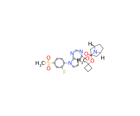 CC1(OC(=O)N2[C@H]3CC[C@H]2CC(Oc2ncnc4c2ccn4-c2ccc(S(C)(=O)=O)cc2F)C3)CCC1